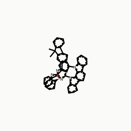 CC1(C)c2ccccc2-c2ccc(-c3nc(-c4ccccc4)nc(-n4c5ccccc5c5ccc6c7ccccc7n(-c7cccc(-c8nc9ccccc9s8)c7)c6c54)n3)cc21